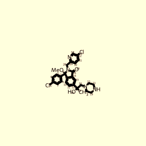 CO[C@]1(c2ccc(Cl)cc2)c2ccc(C(C)(O)CN3CCNCC3)cc2C(=O)N1Cc1ccc(Cl)cn1